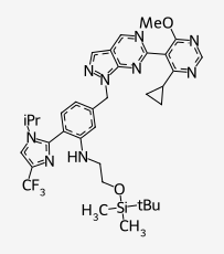 COc1ncnc(C2CC2)c1-c1ncc2cnn(Cc3ccc(-c4nc(C(F)(F)F)cn4C(C)C)c(NCCO[Si](C)(C)C(C)(C)C)c3)c2n1